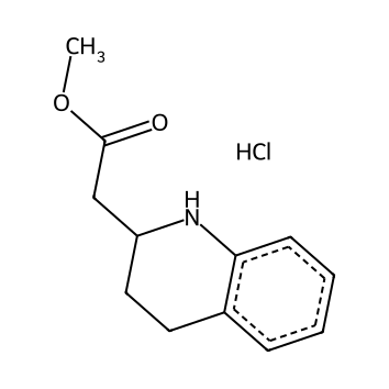 COC(=O)CC1CCc2ccccc2N1.Cl